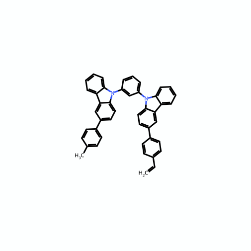 C=Cc1ccc(-c2ccc3c(c2)c2ccccc2n3-c2cccc(-n3c4ccccc4c4cc(-c5ccc(C)cc5)ccc43)c2)cc1